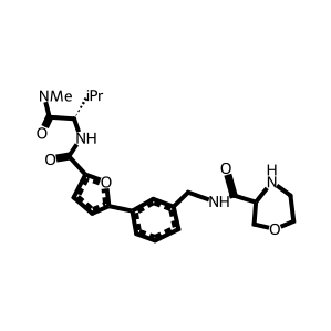 CNC(=O)[C@@H](NC(=O)c1ccc(-c2cccc(CNC(=O)C3COCCN3)c2)o1)C(C)C